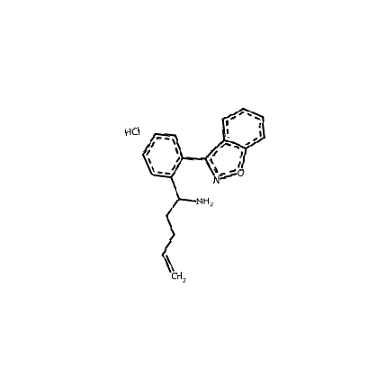 C=CCCC(N)c1ccccc1-c1noc2ccccc12.Cl